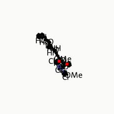 COc1ccc(/C=C2\CN(C(=O)C(Cc3ccccc3)NC(=O)CCCCCCNC(=O)CNc3cc(C(=O)NCC(O)CN4CCc5ccccc5C4)ncn3)C/C(=C\c3ccc(OC)c(Cl)c3)C2=O)cc1Cl